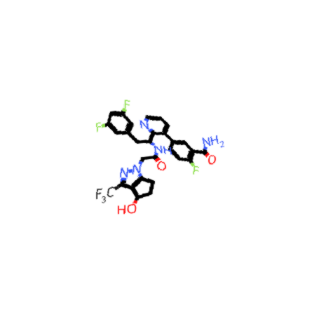 NC(=O)c1cc(-c2cccnc2C(Cc2cc(F)cc(F)c2)NC(=O)Cn2nc(C(F)(F)F)c3c2CCC3O)ccc1F